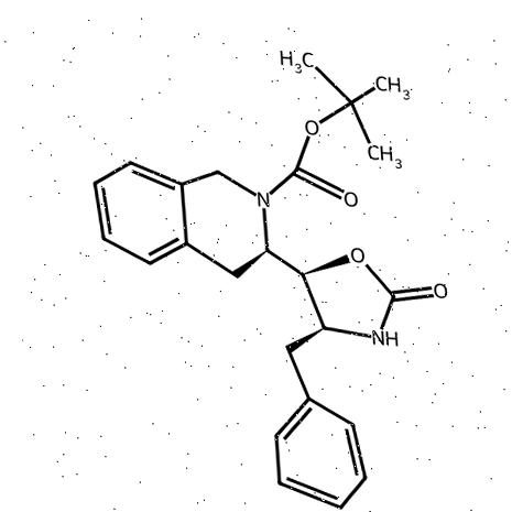 CC(C)(C)OC(=O)N1Cc2ccccc2C[C@@H]1[C@H]1OC(=O)N[C@H]1Cc1ccccc1